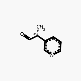 C[C@@H]([C]=O)c1cccnc1